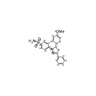 COC1=CCC(C2CC(c3ccccc3)=NN2c2ccc(S(N)(=O)=O)cc2)C=C1